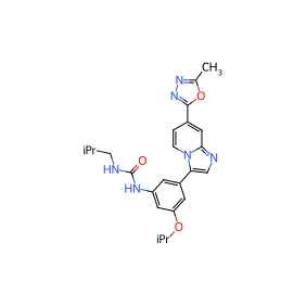 Cc1nnc(-c2ccn3c(-c4cc(NC(=O)NCC(C)C)cc(OC(C)C)c4)cnc3c2)o1